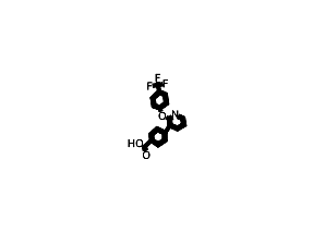 O=C(O)c1ccc(-c2cccnc2Oc2ccc(C(F)(F)F)cc2)cc1